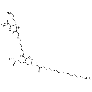 CCCCCCCCCCCCCCCC(=O)NCC(=O)NC(CCC(=O)O)C(=O)NCCOCCOCC(=O)N[C@@H](CCCC)C(=O)NC